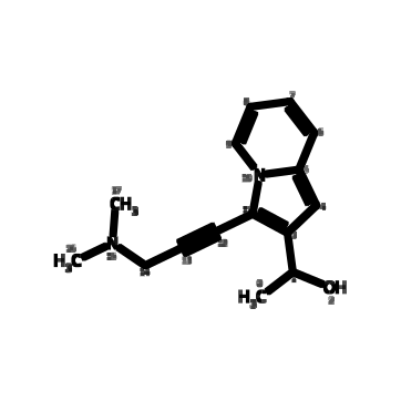 CC(O)c1cc2ccccn2c1C#CCN(C)C